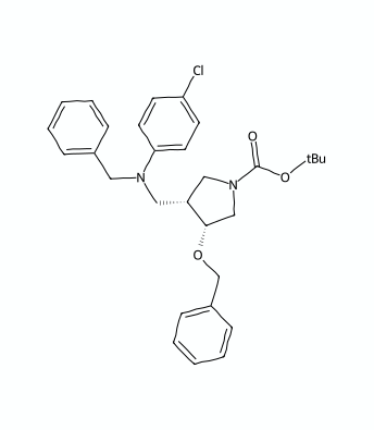 CC(C)(C)OC(=O)N1C[C@@H](CN(Cc2ccccc2)c2ccc(Cl)cc2)[C@@H](OCc2ccccc2)C1